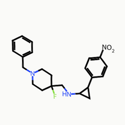 O=[N+]([O-])c1ccc(C2CC2NCC2(F)CCN(Cc3ccccc3)CC2)cc1